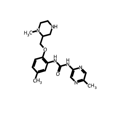 Cc1ccc(OCC2CNCCN2C)c(NC(=O)Nc2cnc(C)cn2)c1